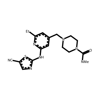 CCc1cc(CN2CCN(C(=O)NC)CC2)cc(Nc2ncc(C#N)s2)n1